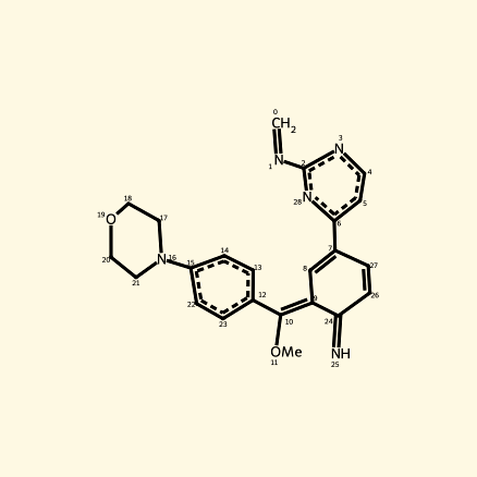 C=Nc1nccc(C2=C/C(=C(/OC)c3ccc(N4CCOCC4)cc3)C(=N)C=C2)n1